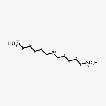 O=S(=O)(O)CCCCC[P]CCCCCS(=O)(=O)O